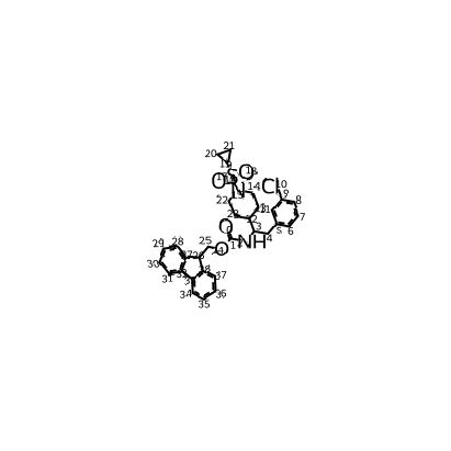 O=C(NC(Cc1cccc(Cl)c1)C1CCN(S(=O)(=O)C2CC2)CC1)OCC1c2ccccc2-c2ccccc21